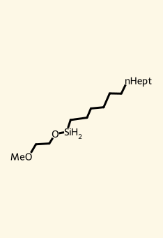 CCCCCCCCCCCCC[SiH2]OCCOC